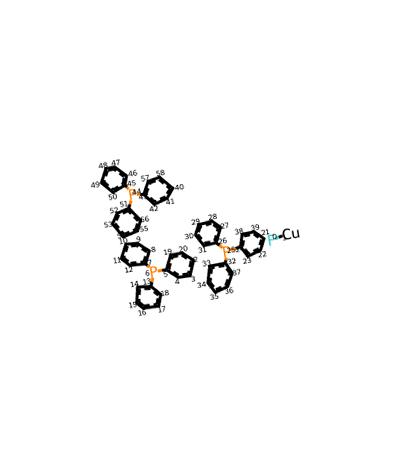 [F][Cu].c1ccc(P(c2ccccc2)c2ccccc2)cc1.c1ccc(P(c2ccccc2)c2ccccc2)cc1.c1ccc(P(c2ccccc2)c2ccccc2)cc1